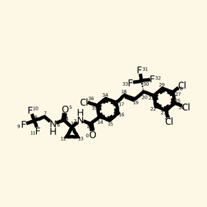 O=C(NC1(C(=O)NCC(F)(F)F)CC1)c1ccc(/C=C/[C@@H](c2cc(Cl)c(Cl)c(Cl)c2)C(F)(F)F)cc1Cl